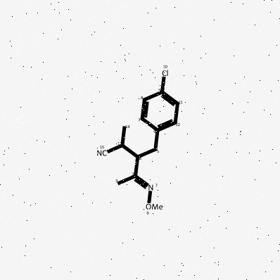 CON=C(C)C(Cc1ccc(Cl)cc1)C(C)C#N